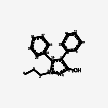 CCCn1nc(O)c(-c2ccccc2)c1-c1ccccc1